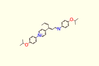 C\C=C/C(=C\C=N\c1ccc(OC(C)C)cc1)c1cc[n+](-c2ccc(OC(C)C)cc2)cc1